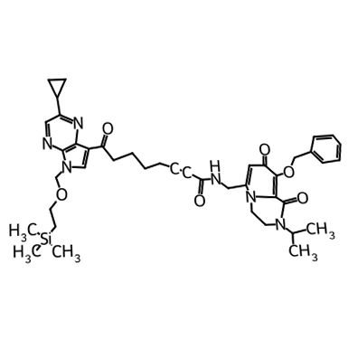 CC(C)N1CCn2c(CNC(=O)CCCCCCC(=O)c3cn(COCC[Si](C)(C)C)c4ncc(C5CC5)nc34)cc(=O)c(OCc3ccccc3)c2C1=O